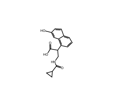 O=C(NCC(C(=O)O)c1cccc2ccc(O)cc12)C1CC1